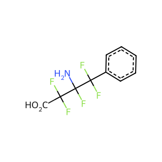 NC(F)(C(F)(F)C(=O)O)C(F)(F)c1ccccc1